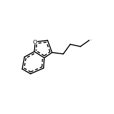 [CH2]CCCc1coc2ccccc12